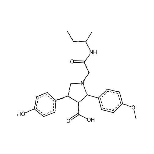 CCC(C)NC(=O)CN1CC(c2ccc(O)cc2)C(C(=O)O)C1c1ccc(OC)cc1